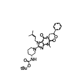 CC(C)=CCn1c(N2CCC[C@@H](NC(=O)OC(C)(C)C)C2)nc2c1c(=O)n(CC(=O)c1ccccc1)c(=O)n2C